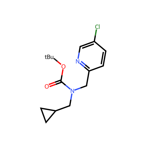 CC(C)(C)OC(=O)N(Cc1ccc(Cl)cn1)CC1CC1